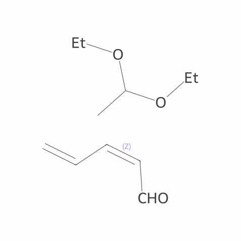 C=C/C=C\C=O.CCOC(C)OCC